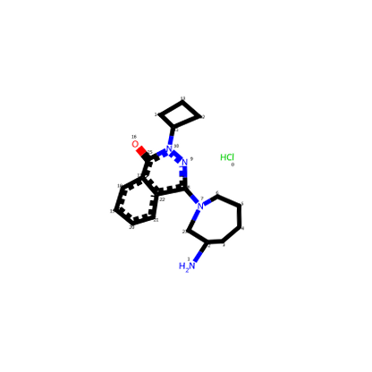 Cl.NC1CCCCN(c2nn(C3CCC3)c(=O)c3ccccc23)C1